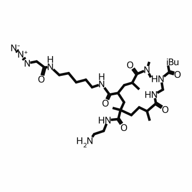 CCC(C)C(=O)NCNC(=O)C(C)CCC(C)(CC(CC(C)C(=O)N(C)C)C(=O)NCCCCCNC(=O)CN=[N+]=[N-])C(=O)NCCN